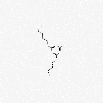 CCCCCSc1nc(Cl)nc(NCCCN)n1